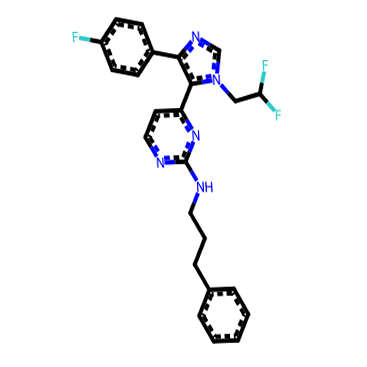 Fc1ccc(-c2ncn(CC(F)F)c2-c2ccnc(NCCCc3ccccc3)n2)cc1